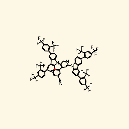 N#Cc1cccc(-c2cc(-n3c4ccc(-c5ccc(C(F)(F)F)cc5C(F)(F)F)cc4c4cc(-c5ccc(C(F)(F)F)cc5C(F)(F)F)ccc43)ncc2-n2c3ccc(-c4ccc(C(F)(F)F)cc4C(F)(F)F)cc3c3cc(-c4ccc(C(F)(F)F)cc4C(F)(F)F)ccc32)c1